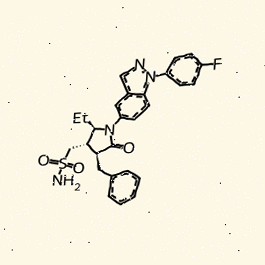 CC[C@@H]1[C@@H](CS(N)(=O)=O)[C@H](Cc2ccccc2)C(=O)N1c1ccc2c(cnn2-c2ccc(F)cc2)c1